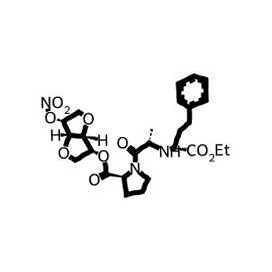 CCOC(=O)[C@H](CCc1ccccc1)N[C@@H](C)C(=O)N1CCC[C@H]1C(=O)O[C@H]1CO[C@H]2[C@@H]1OC[C@H]2O[N+](=O)[O-]